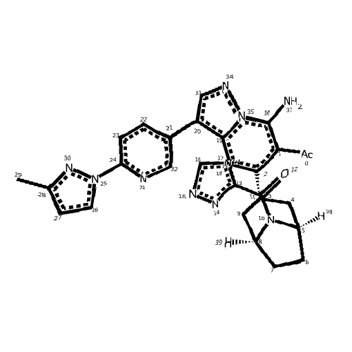 CC(=O)c1c([C@@H]2C[C@H]3CC[C@@H](C2)N3C(=O)c2nnc[nH]2)nc2c(-c3ccc(-n4ccc(C)n4)nc3)cnn2c1N